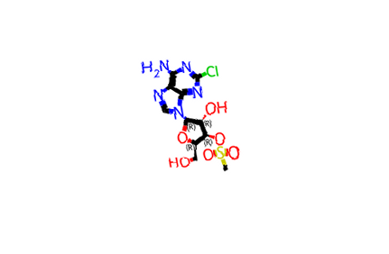 CS(=O)(=O)O[C@@H]1[C@@H](O)[C@H](n2cnc3c(N)nc(Cl)nc32)O[C@@H]1CO